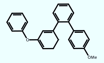 COc1ccc(-c2ccccc2C2=CC(Oc3ccccc3)=CC[CH]2)cc1